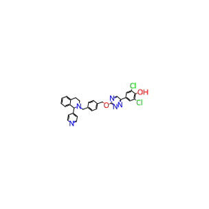 Oc1c(Cl)cc(-c2cnc(OCc3ccc(CN4CCc5ccccc5C4c4ccncc4)cc3)nn2)cc1Cl